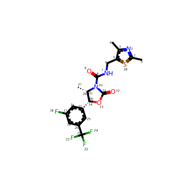 Cc1nc(C)c(CNC(=O)N2C(=O)O[C@H](c3cc(F)cc(C(F)(F)F)c3)[C@@H]2C)s1